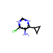 Nc1c(Cl)ncnc1C1CC1